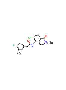 CC[C@@H](C)n1ccc2c(NC(=O)Cc3ccc(F)c(C(F)(F)F)c3)c(Cl)ccc2c1=O